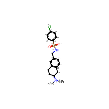 CCCN(CCC)C1CCc2cc(CNS(=O)(=O)c3ccc(Cl)cc3)ccc2C1